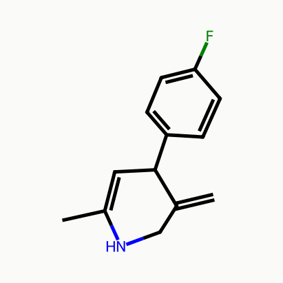 C=C1CNC(C)=CC1c1ccc(F)cc1